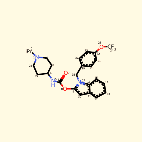 CC(C)N1CCC(NC(=O)Oc2cc3ccccc3n2Cc2ccc(OC(F)(F)F)cc2)CC1